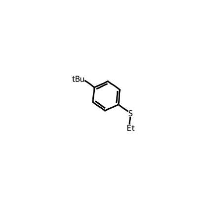 [CH2]CSc1ccc(C(C)(C)C)cc1